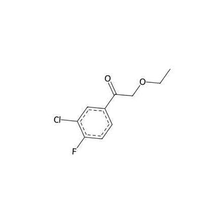 CCOCC(=O)c1ccc(F)c(Cl)c1